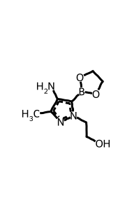 Cc1nn(CCO)c(B2OCCO2)c1N